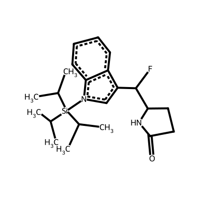 CC(C)[Si](C(C)C)(C(C)C)n1cc(C(F)C2CCC(=O)N2)c2ccccc21